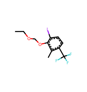 CCOCOc1c(I)ccc(C(F)(F)F)c1C